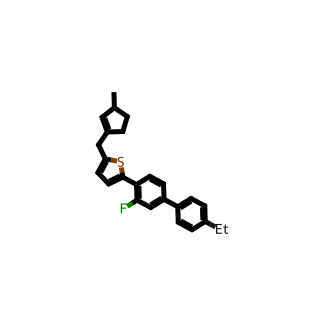 CCc1ccc(-c2ccc(-c3ccc(CC4=CC(C)CC4)s3)c(F)c2)cc1